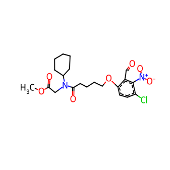 COC(=O)CN(C(=O)CCCCOc1ccc(Cl)c([N+](=O)[O-])c1C=O)C1CCCCC1